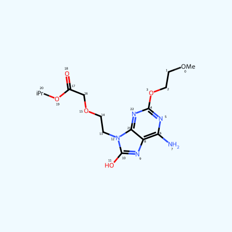 COCCOc1nc(N)c2nc(O)n(CCOCC(=O)OC(C)C)c2n1